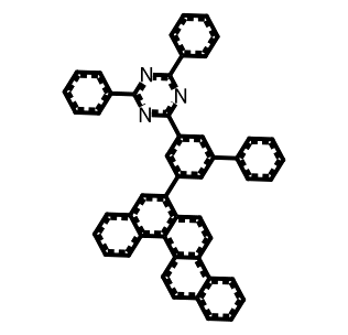 c1ccc(-c2cc(-c3nc(-c4ccccc4)nc(-c4ccccc4)n3)cc(-c3cc4ccccc4c4c3ccc3c5ccccc5ccc34)c2)cc1